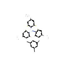 Cc1cc(C)c(B2c3cc(C#N)cc4c3N3c5c(cc(C#N)cc5Sc5cc(C#N)cc2c53)S4)c(C)c1